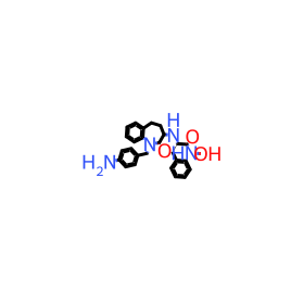 Nc1ccc(CN2C(=O)C(N[C@@H](Cc3ccccc3)C(=O)NO)CCc3ccccc32)cc1